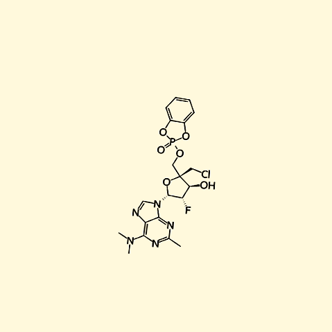 Cc1nc(N(C)C)c2ncn([C@@H]3O[C@](CCl)(COP4(=O)Oc5ccccc5O4)[C@@H](O)[C@@H]3F)c2n1